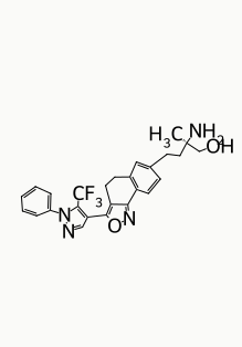 C[C@](N)(CO)CCc1ccc2c(c1)CCc1c-2noc1-c1cnn(-c2ccccc2)c1C(F)(F)F